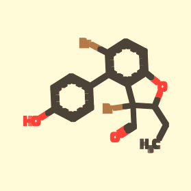 CCC1Oc2ccc(Br)c(-c3ccc(O)cc3)c2C1(Br)C=O